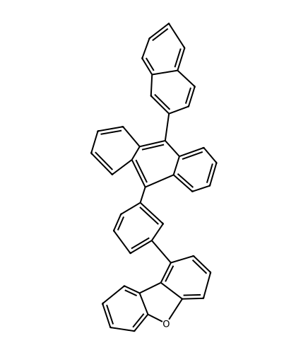 c1cc(-c2c3ccccc3c(-c3ccc4ccccc4c3)c3ccccc23)cc(-c2cccc3oc4ccccc4c23)c1